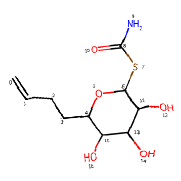 C=CC[CH]C1OC(SC(N)=O)C(O)C(O)C1O